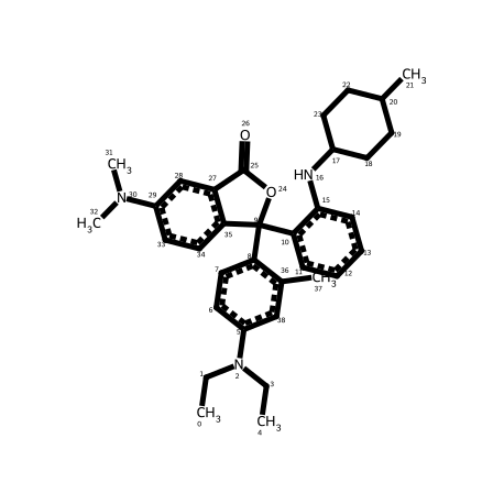 CCN(CC)c1ccc(C2(c3ccccc3NC3CCC(C)CC3)OC(=O)c3cc(N(C)C)ccc32)c(C)c1